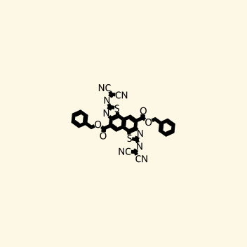 N#CC(C#N)=Nc1nc2c(C(=O)OCc3ccccc3)cc3c(cc(C(=O)OCc4ccccc4)c4nc(N=C(C#N)C#N)sc43)c2s1